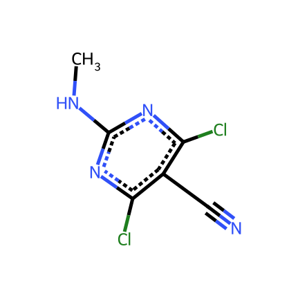 CNc1nc(Cl)c(C#N)c(Cl)n1